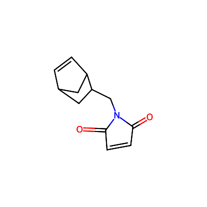 O=C1C=CC(=O)N1CC1CC2C=CC1C2